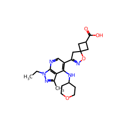 CCn1nc(C)c2c(NC3CCOCC3)c(C3=NOC4(C3)CC(C(=O)O)C4)cnc21